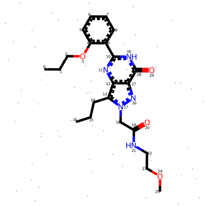 CCCOc1ccccc1-c1nc2c(CCC)n(CC(=O)NCCOC)nc2c(=O)[nH]1